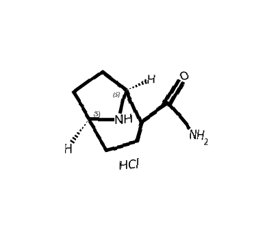 Cl.NC(=O)C1CC[C@H]2CC[C@@H]1N2